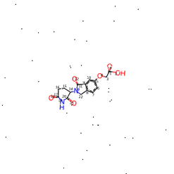 O=C(O)COc1ccc2c(c1)C(=O)N(C1CCC(=O)NC1=O)C2